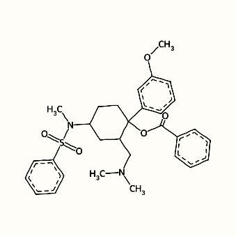 COc1cccc(C2(OC(=O)c3ccccc3)CCC(N(C)S(=O)(=O)c3ccccc3)CC2CN(C)C)c1